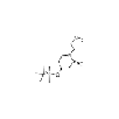 CC(C)(C)[Si](C)(C)OC1CCN(CCN)C(=O)C1